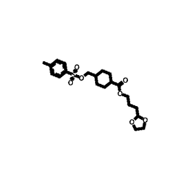 Cc1ccc(S(=O)(=O)OCC2CCC(C(=O)OCCCC3OCCO3)CC2)cc1